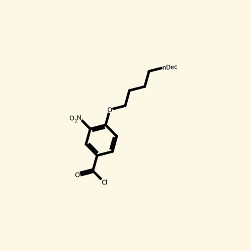 CCCCCCCCCCCCCCOc1ccc(C(=O)Cl)cc1[N+](=O)[O-]